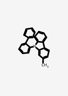 Cc1ccc2c3ccccc3n(-c3ccccc3-c3ccccc3)c2c1